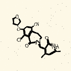 Cc1cc(C)c(CN2CCc3c(C#N)cc(O[C@@H]4CCOC4)c(Cl)c3C2=O)c(=O)[nH]1